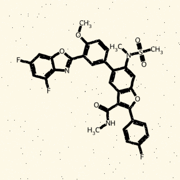 CNC(=O)c1c(-c2ccc(F)cc2)oc2cc(N(C)S(C)(=O)=O)c(-c3ccc(OC)c(-c4nc5c(F)cc(F)cc5o4)c3)cc12